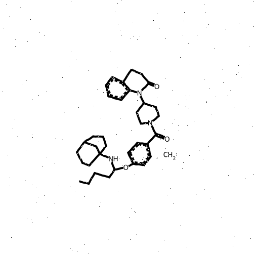 CCCCC(NC12CCCC(CCC1)C2)Oc1ccc(C(=O)N2CCC(N3C(=O)CCc4ccccc43)CC2)cc1.[CH2]